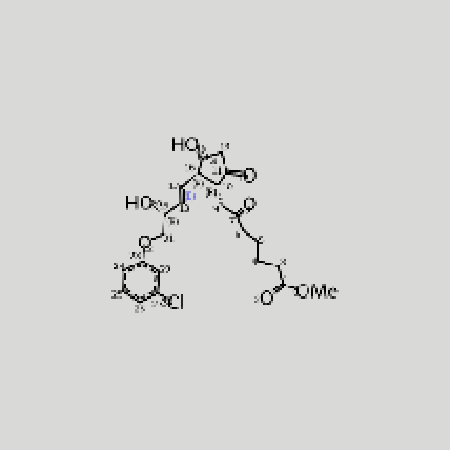 COC(=O)CCCCC(=O)C[C@H]1C(=O)C[C@@H](O)[C@@H]1/C=C/[C@@H](O)COc1cccc(Cl)c1